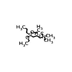 CCC[Si](CCC[N+](C)(C)C)(OCC)OCC